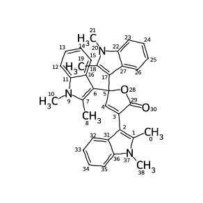 Cc1c(C2=CC(c3c(C)n(C)c4ccccc34)(c3c(C)n(C)c4ccccc34)OC2=O)c2ccccc2n1C